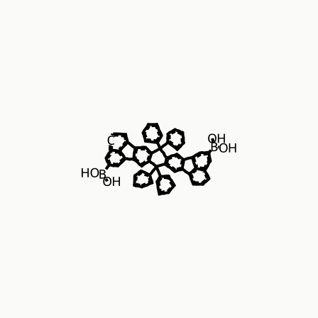 OB(O)c1cc2c3c(cccc3c1)-c1cc3c(cc1-2)C(c1ccccc1)(c1ccccc1)c1cc2c(cc1C3(c1ccccc1)c1ccccc1)-c1cc(B(O)O)cc3cccc-2c13